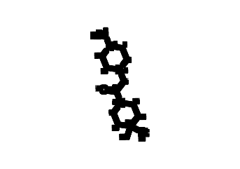 CCCCN1CCN(CC(=O)N2CCC(C)(CC)CC2)CC1